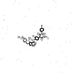 Cc1c(CN2CCN(C)CC2)cn2ncnc(Oc3ccc(C(C(N)=O)C(=O)Nc4ccc(F)cc4)cc3F)c12